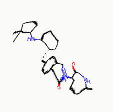 C=C1CCC(N2Cc3cc(C[C@H]4CCCC[C@@H]4NC4CCCC(C)(C)C4)ccc3C2=O)C(=O)N1